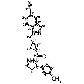 Cc1csc(C2CC=NN2C(=O)C23CC(Cn4ncc5cc(C#N)ccc54)(C2)C3)n1